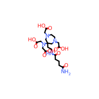 NC(=O)CCCC(=O)NCCC1(N(CC(=O)O)CC(=O)O)CN(CC(=O)O)CCN(CC(=O)O)C1